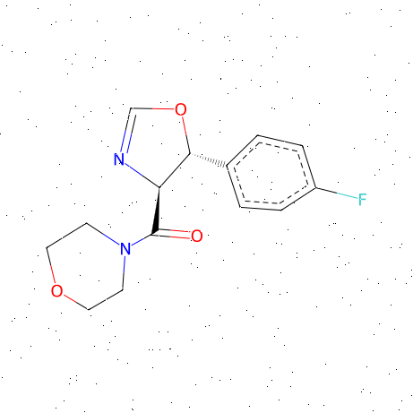 O=C([C@H]1N=CO[C@@H]1c1ccc(F)cc1)N1CCOCC1